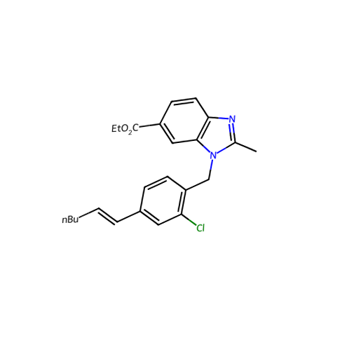 CCCCC=Cc1ccc(Cn2c(C)nc3ccc(C(=O)OCC)cc32)c(Cl)c1